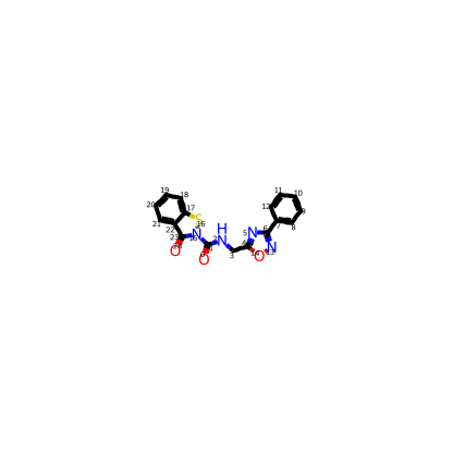 O=C(NCc1nc(-c2ccccc2)no1)n1sc2ccccc2c1=O